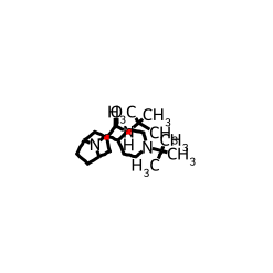 CC(C)(C)NC(=O)C1CC2CCC(C1)N2CC1CCN(C(C)(C)C)CC1